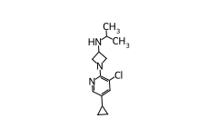 CC(C)NC1CN(c2ncc(C3CC3)cc2Cl)C1